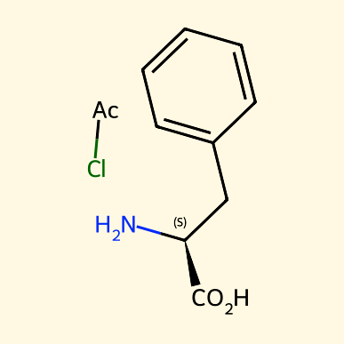 CC(=O)Cl.N[C@@H](Cc1ccccc1)C(=O)O